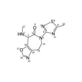 CNC1C(=O)N(c2nsc(C)n2)CCc2ncoc21